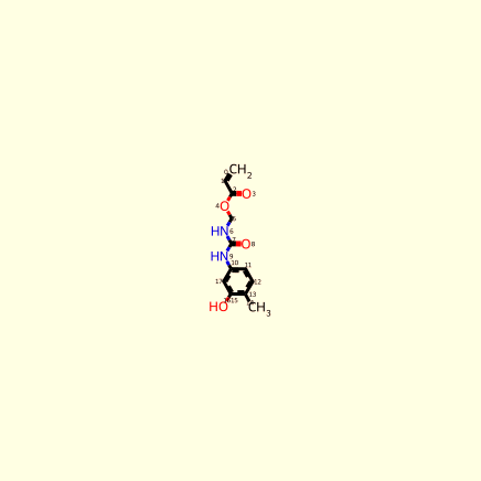 C=CC(=O)OCNC(=O)Nc1ccc(C)c(O)c1